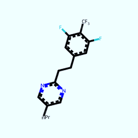 CCCc1cnc(CCc2cc(F)c(C(F)(F)F)c(F)c2)nc1